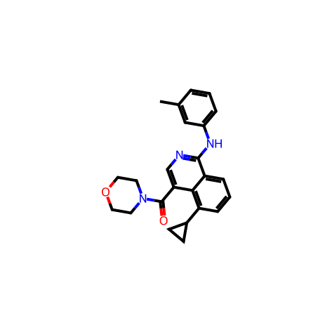 Cc1cccc(Nc2ncc(C(=O)N3CCOCC3)c3c(C4CC4)cccc23)c1